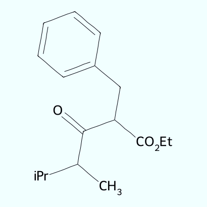 CCOC(=O)C(Cc1ccccc1)C(=O)C(C)C(C)C